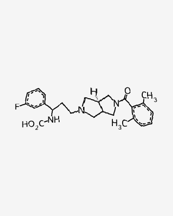 Cc1cccc(C)c1C(=O)N1CC2CN(CCC(NC(=O)O)c3cccc(F)c3)C[C@H]2C1